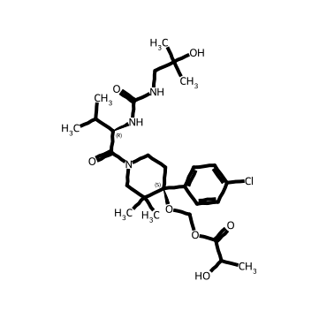 CC(O)C(=O)OCO[C@]1(c2ccc(Cl)cc2)CCN(C(=O)[C@H](NC(=O)NCC(C)(C)O)C(C)C)CC1(C)C